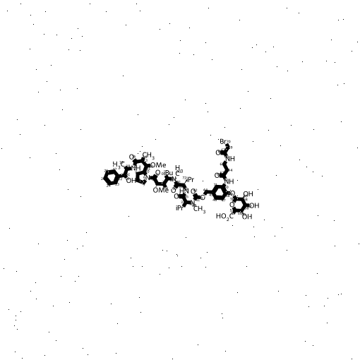 CCC(C)C(C(CC(=O)N1CCCC1C(OC)C(C)C(=O)NC(C)C(O)c1ccccc1)OC)N(C)C(=O)[C@@H](NC(=O)C(C(C)C)N(C)C(=O)OCc1ccc(OC2OC(C(=O)O)[C@@H](O)C(O)[C@H]2O)c(NC(=O)CCNC(=O)CBr)c1)C(C)C